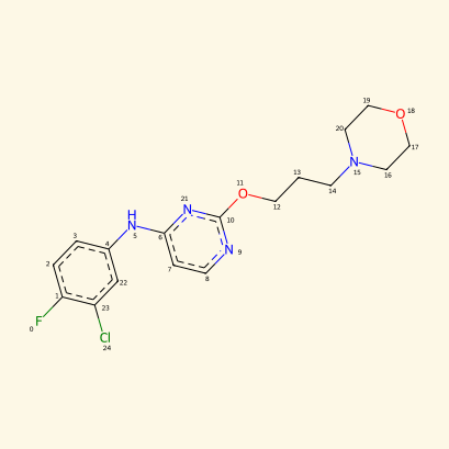 Fc1ccc(Nc2ccnc(OCCCN3CCOCC3)n2)cc1Cl